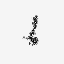 COc1cc(C(=O)NN2CCC(CCN3CCN(c4ccc(C5CCC(=O)NC5=O)cc4F)CC3)CC2)ccc1Nc1ncc2c(n1)N(C(C)C)CC(F)(F)C(=O)N2C